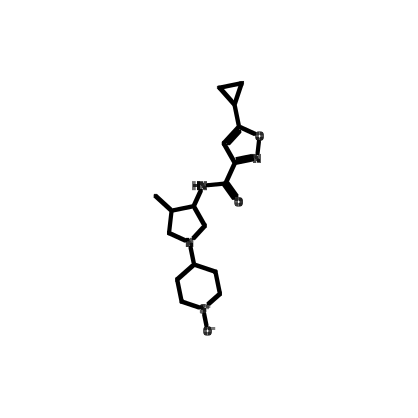 CC1CN(C2CC[S+]([O-])CC2)CC1NC(=O)c1cc(C2CC2)on1